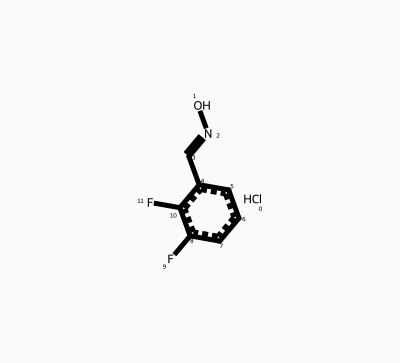 Cl.ON=Cc1cccc(F)c1F